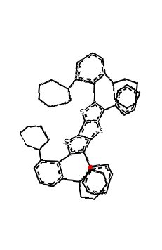 c1ccc(-c2c(-c3c(C4CCCCC4)cccc3C3CCCCC3)sc3c2sc2c(-c4ccccc4)c(-c4c(C5CCCCC5)cccc4C4CCCCC4)sc23)cc1